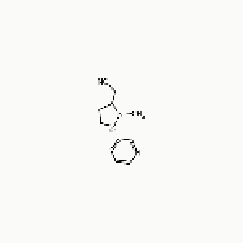 CN1C(CC#N)CC[C@H]1c1cccnc1